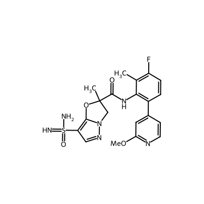 COc1cc(-c2ccc(F)c(C)c2NC(=O)C2(C)Cn3ncc(S(=N)(N)=O)c3O2)ccn1